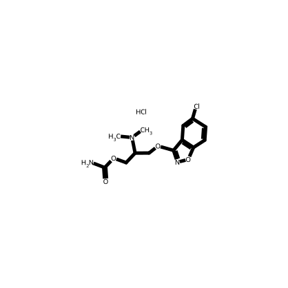 CN(C)C(COC(N)=O)COc1noc2ccc(Cl)cc12.Cl